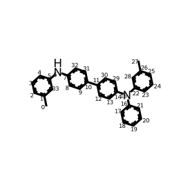 Cc1cccc(Nc2ccc(-c3ccc(N(c4ccccc4)c4cccc(C)c4)cc3)cc2)c1